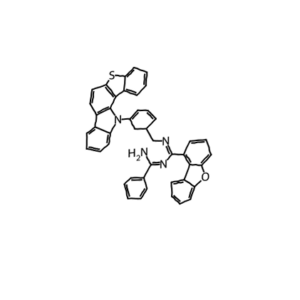 N/C(=N\C(=N/CC1C=CC=C(n2c3ccccc3c3ccc4sc5ccccc5c4c32)C1)c1cccc2oc3ccccc3c12)c1ccccc1